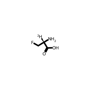 [2H][C@](N)(CF)C(=O)O